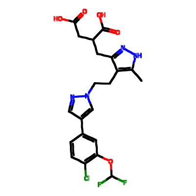 Cc1[nH]nc(CC(CC(=O)O)C(=O)O)c1CCn1cc(-c2ccc(Cl)c(OC(F)F)c2)cn1